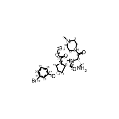 CN1CCN(C(=O)[C@H](CN)NC(=O)[C@@H]2C[C@H](Oc3cccc(Br)c3)CN2C(=O)OC(C)(C)C)CC1